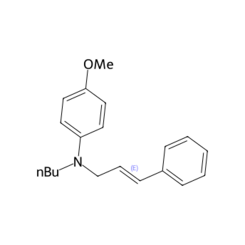 CCCCN(C/C=C/c1ccccc1)c1ccc(OC)cc1